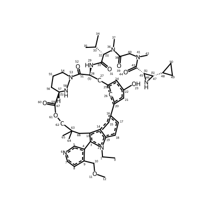 CCn1c(-c2cnccc2COC)c2c3cc(ccc31)-c1cc(O)cc(c1)C[C@H](NC(=O)[C@H](C(C)C)N(C)C(=O)CN(C)C(=O)[C@H]1N[C@H]1C1CC1)C(=O)N1CCC[C@H](N1)C(=O)OCC(C)(C)C2